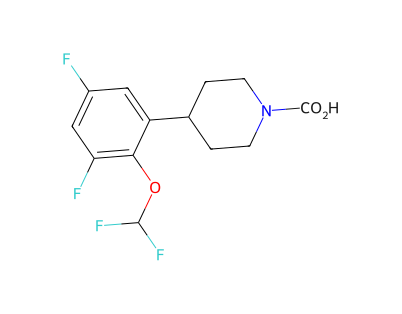 O=C(O)N1CCC(c2cc(F)cc(F)c2OC(F)F)CC1